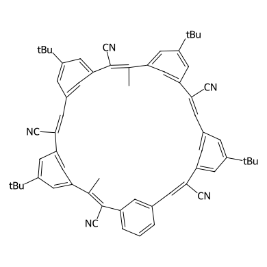 C/C1=C(/C#N)c2cccc(c2)/C=C(\C#N)c2cc(cc(C(C)(C)C)c2)/C=C(\C#N)c2cc(cc(C(C)(C)C)c2)/C(C)=C(\C#N)c2cc(cc(C(C)(C)C)c2)/C=C(\C#N)c2cc1cc(C(C)(C)C)c2